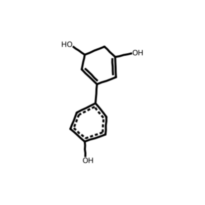 OC1=CC(c2ccc(O)cc2)=CC(O)C1